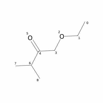 CCOCC(=O)C(C)C